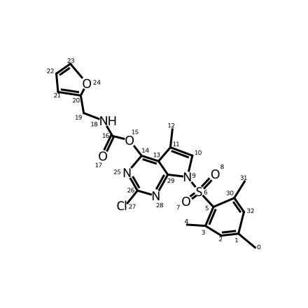 Cc1cc(C)c(S(=O)(=O)n2cc(C)c3c(OC(=O)NCc4ccco4)nc(Cl)nc32)c(C)c1